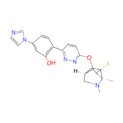 CN1C[C@H]2CC[C@]1(C)C(F)C2Oc1ccc(-c2ccc(-n3ccnc3)cc2O)nn1